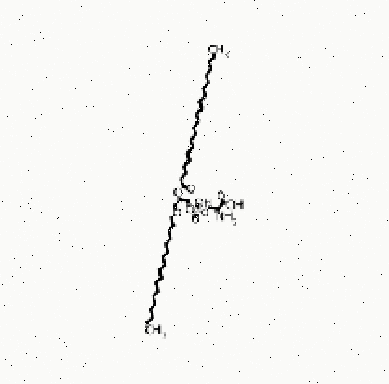 CCCCCCCCCCCCCCCCCCCCCC(=O)O[C@H](COCCCCCCCCCCCCCCCCCC)COP(=O)(O)OC[C@H](N)C(=O)O